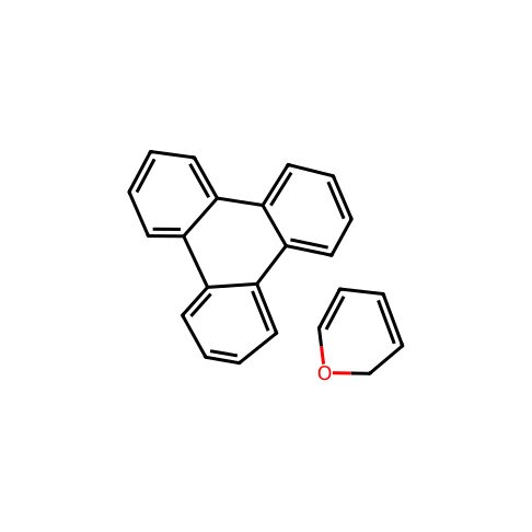 C1=CCOC=C1.c1ccc2c(c1)c1ccccc1c1ccccc21